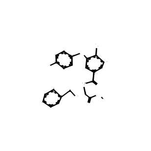 CC(C)(C)OC(=O)[C@H](CCc1ccccc1)NC(=O)c1ccc([N+](=O)[O-])c(Sc2ccc(O)cc2)c1